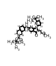 COCCn1c(=O)c2cnc(Nc3ccc4c(c3)CN(C(=O)OC(C)(C)C)CC4)nc2n1-c1cccc(C(C)(C)C)n1